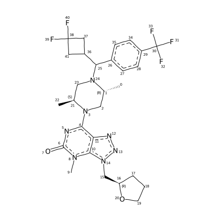 C[C@@H]1CN(c2nc(=O)n(C)c3c2nnn3C[C@H]2CCCO2)[C@@H](C)CN1C(c1ccc(C(F)(F)F)cc1)C1CC(F)(F)C1